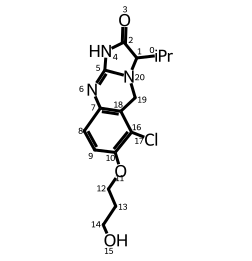 CC(C)C1C(=O)NC2=Nc3ccc(OCCCO)c(Cl)c3CN21